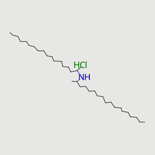 CCCCCCCCCCCCCCCCC(C)NC(C)CCCCCCCCCCCCCCCC.Cl